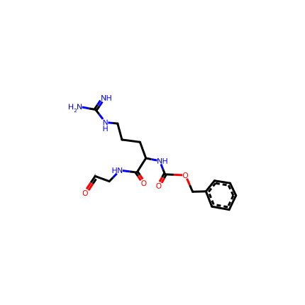 N=C(N)NCCCC(NC(=O)OCc1ccccc1)C(=O)NC[C]=O